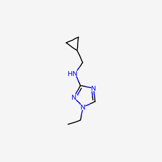 CCn1cnc(NCC2CC2)n1